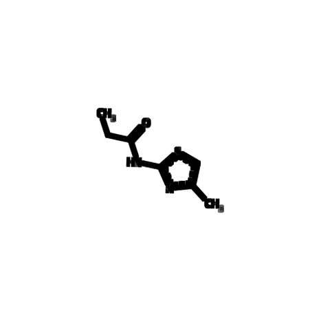 CCC(=O)Nc1nc(C)cs1